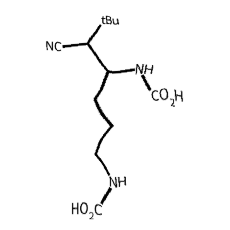 CC(C)(C)C(C#N)C(CCCNC(=O)O)NC(=O)O